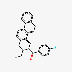 CCC1Cc2ccc3c(c2=CC1C(=O)c1ccc(F)cc1)=CCc1ccccc1-3